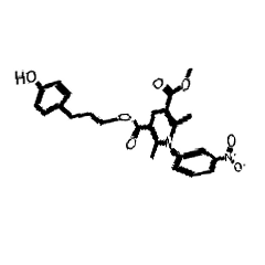 COC(=O)C1=C(C)N(c2cccc([N+](=O)[O-])c2)C(C)=C(C(=O)OCCCc2ccc(O)cc2)C1